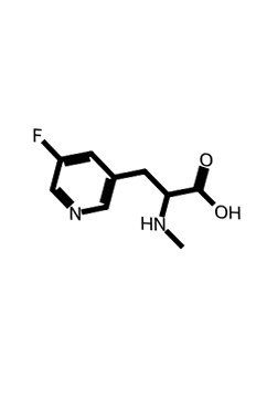 CNC(Cc1cncc(F)c1)C(=O)O